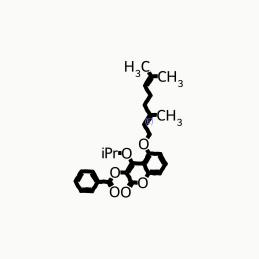 CC(C)=CCC/C(C)=C/COc1cccc2oc(=O)c(OC(=O)c3ccccc3)c(OC(C)C)c12